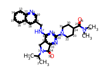 CC(C)N1Cc2c(NCc3cnc4ccccc4c3)nc(N3CCC(C(=O)N(C)C)CC3)nc2C1=O